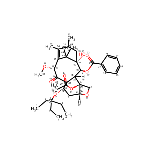 CC[Si](CC)(CC)O[C@H]1C[C@H]2OC[C@@]2(OC(C)=O)[C@H]2[C@H](OC(=O)c3ccccc3)[C@]3(O)C[C@H](C)C(C)=C([C@@H](OC)C(=O)[C@]12C)C3(C)C